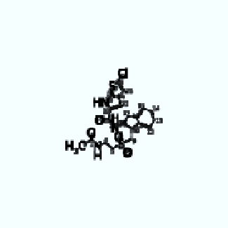 CC(=O)NCCS(=O)(=O)C[C@H]1c2ccccc2C[C@H]1NC(=O)c1cc2cc(Cl)sc2[nH]1